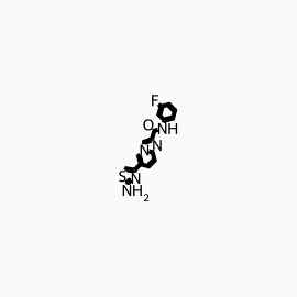 Nc1nc(-c2ccc3nc(C(=O)Nc4cccc(F)c4)cn3c2)cs1